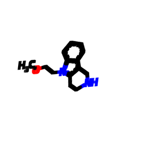 COCCn1c2c(c3ccccc31)CNCC2